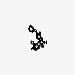 C=C1NC(=C)C(Cn2cccc(C)c2=O)(c2ccc(OC3CCCCC3)c(C)c2)N1